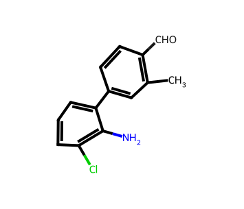 Cc1cc(-c2cccc(Cl)c2N)ccc1C=O